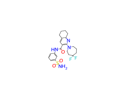 NS(=O)(=O)c1cccc(NC(=O)c2cc3c(nc2N2CCCC(F)(F)CC2)CCCC3)c1